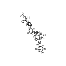 O=C(NC1CC1)c1csc(-c2cccc(NC(=O)C3CCCN3C(=O)OCc3ccccc3)c2)n1